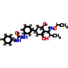 CCON=C(CC)C1=C(O)CC(c2cccc(NC(=O)Nc3ccccc3)c2)CC1=O